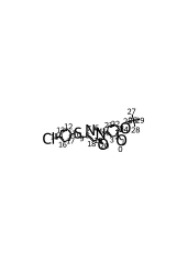 COc1cc(-n2cnc(CSc3ccc(Cl)cc3)cc2=O)ccc1OCC(C)(C)C